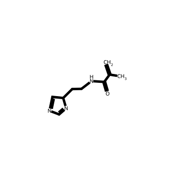 C=C(C)C(=O)NCCC1C=NC=N1